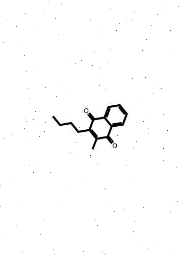 CCCCC1=C(C)C(=O)c2ccccc2C1=O